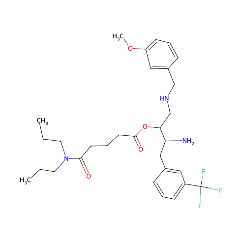 CCCN(CCC)C(=O)CCCC(=O)OC(CNCc1cccc(OC)c1)C(N)Cc1cccc(C(F)(F)F)c1